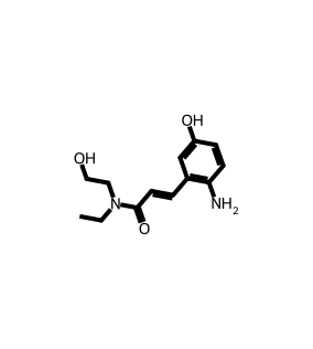 CCN(CCO)C(=O)C=Cc1cc(O)ccc1N